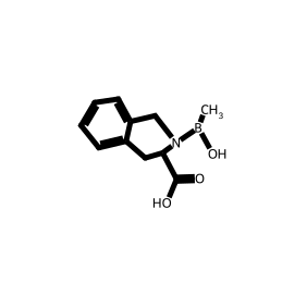 CB(O)N1Cc2ccccc2CC1C(=O)O